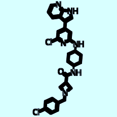 O=C(N[C@H]1CC[C@H](Nc2cc(-c3c[nH]c4ncccc34)cc(Cl)n2)CC1)C1CN(Cc2ccc(Cl)cc2)C1